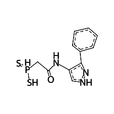 O=C(C[PH](=S)S)Nc1c[nH]nc1-c1ccccc1